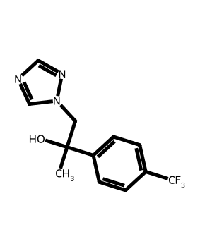 CC(O)(Cn1cncn1)c1ccc(C(F)(F)F)cc1